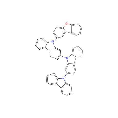 c1ccc2c(c1)oc1ccc(-n3c4ccccc4c4ccc(-n5c6ccccc6c6ccc(-n7c8ccccc8c8ccccc87)cc65)cc43)cc12